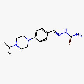 CCC(CC)N1CCN(c2ccc(C=NNC(N)=S)cc2)CC1